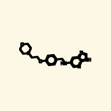 c1nc2cc(NCc3ccc(OCCN4CCOCC4)cc3)cnc2[nH]1